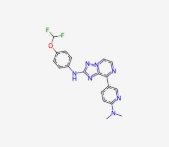 CN(C)c1ccc(-c2nccn3nc(Nc4ccc(OC(F)F)cc4)nc23)cn1